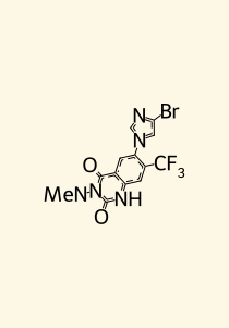 CNn1c(=O)[nH]c2cc(C(F)(F)F)c(-n3cnc(Br)c3)cc2c1=O